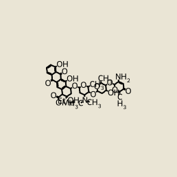 CCC1(O)CC(OC2CC(N(C)C)C(OC3CC(O)C(OC4OC(C)C(=O)C=C4N)C(C)O3)C(C)O2)c2c(cc3c(c2O)C(=O)c2c(O)cccc2C3=O)C1C(=O)OC